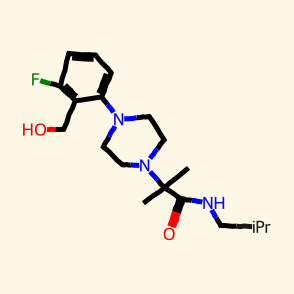 CC(C)CNC(=O)C(C)(C)N1CCN(c2cccc(F)c2CO)CC1